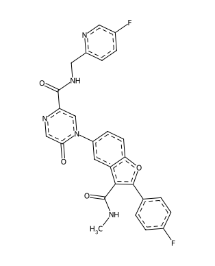 CNC(=O)c1c(-c2ccc(F)cc2)oc2ccc(-n3cc(C(=O)NCc4ccc(F)cn4)ncc3=O)cc12